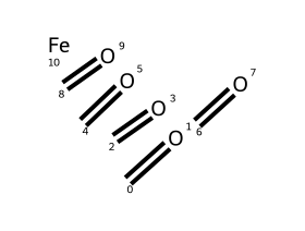 C=O.C=O.C=O.C=O.C=O.[Fe]